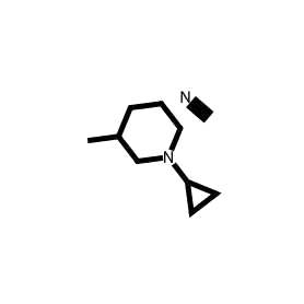 C#N.CC1CCCN(C2CC2)C1